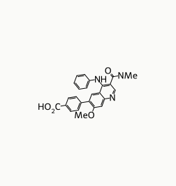 CNC(=O)c1cnc2cc(OC)c(-c3ccc(C(=O)O)cc3)cc2c1Nc1ccccc1